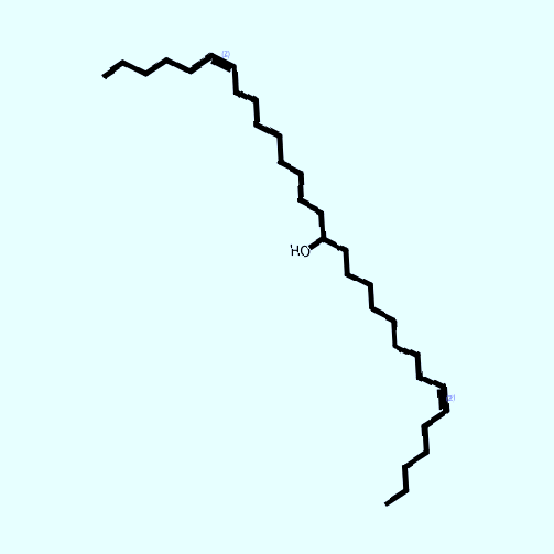 CCCCC/C=C\CCCCCCCCC(O)CCCCCCCC/C=C\CCCCC